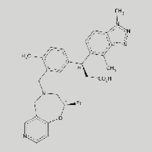 CC[C@@H]1CN(Cc2cc([C@H](CC(=O)O)c3ccc4c(nnn4C)c3C)ccc2C)Cc2cnccc2O1